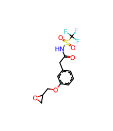 O=C(Cc1cccc(OCC2CO2)c1)NS(=O)(=O)C(F)(F)F